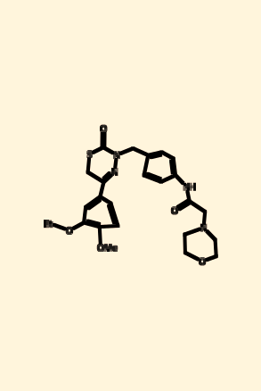 CCOc1cc(C2=NN(Cc3ccc(NC(=O)CN4CCOCC4)cc3)C(=O)SC2)ccc1OC